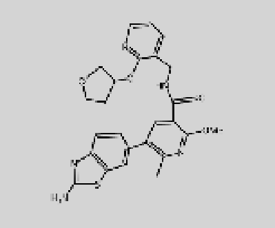 COc1nc(C)c(-c2ccc3nc(N)sc3c2)cc1C(=O)NCc1cccnc1OC1CCOC1